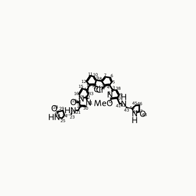 COc1nc(-c2cccc(-c3cccc(-c4ccn5c(=O)c(CNC[C@@H]6CNC(=O)C6)cnc5c4)c3Cl)c2Cl)ccc1CNC[C@H]1CCC(=O)N1